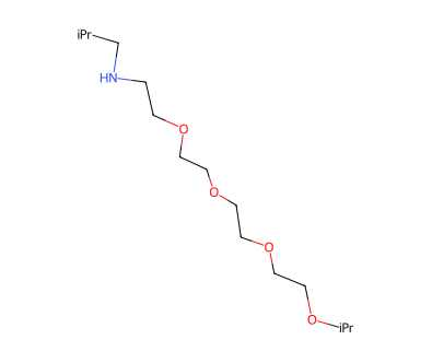 CC(C)CNCCOCCOCCOCCOC(C)C